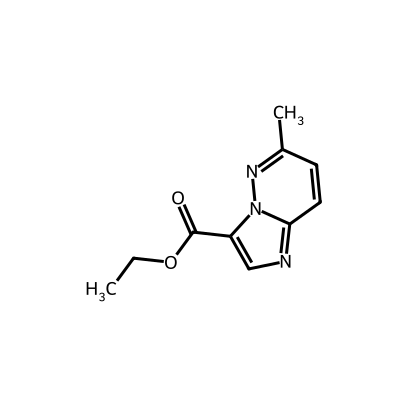 CCOC(=O)c1cnc2ccc(C)nn12